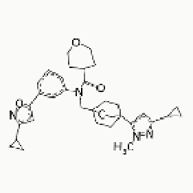 Cn1nc(C2CC2)cc1C12CCC(CN(C(=O)C3CCOCC3)c3cccc(-c4cc(C5CC5)no4)c3)(CC1)CC2